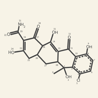 CC1(O)c2c(Cl)ccc(O)c2C(=O)C2=C(O)C3C(=O)C(C(N)=O)=C(O)CC3CC21